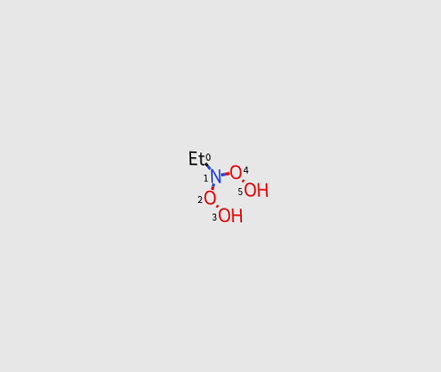 [CH2]CN(OO)OO